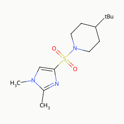 Cc1nc(S(=O)(=O)N2CCC(C(C)(C)C)CC2)cn1C